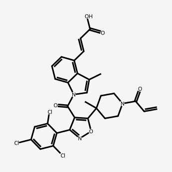 C=CC(=O)N1CCC(C)(c2onc(-c3c(Cl)cc(Cl)cc3Cl)c2C(=O)n2cc(C)c3c(/C=C/C(=O)O)cccc32)CC1